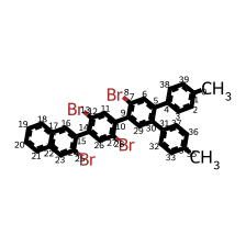 Cc1ccc(-c2cc(Br)c(-c3cc(Br)c(-c4cc5ccccc5cc4Br)cc3Br)cc2-c2ccc(C)cc2)cc1